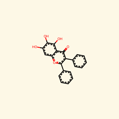 O=c1c(-c2ccccc2)c(-c2ccccc2)oc2cc(O)c(O)c(O)c12